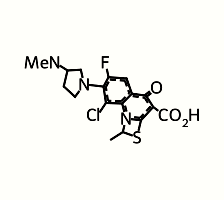 CNC1CCN(c2c(F)cc3c(=O)c(C(=O)O)c4n(c3c2Cl)C(C)S4)C1